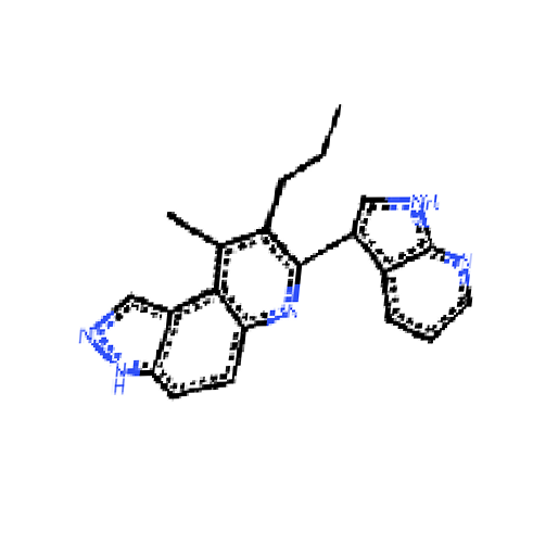 CCCc1c(-c2c[nH]c3ncccc23)nc2ccc3[nH]ncc3c2c1C